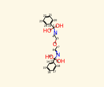 OC(O)(N=CCOCC=NC(O)(O)c1ccccc1)c1ccccc1